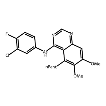 CCCCCc1c(OC)c(OC)cc2ncnc([AsH]c3ccc(F)c(Cl)c3)c12